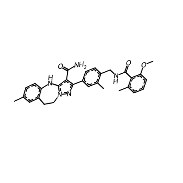 COc1cccc(C)c1C(=O)NCc1ccc(-c2nn3c(c2C(N)=O)Nc2ccc(C)cc2CC3)cc1C